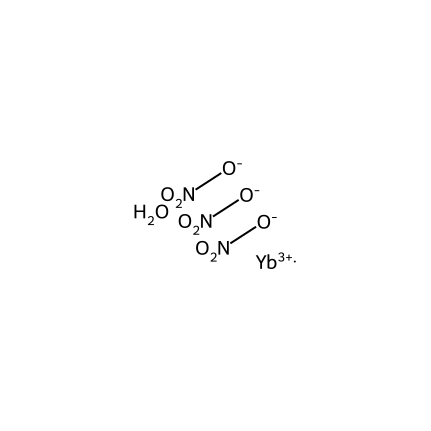 O.O=[N+]([O-])[O-].O=[N+]([O-])[O-].O=[N+]([O-])[O-].[Yb+3]